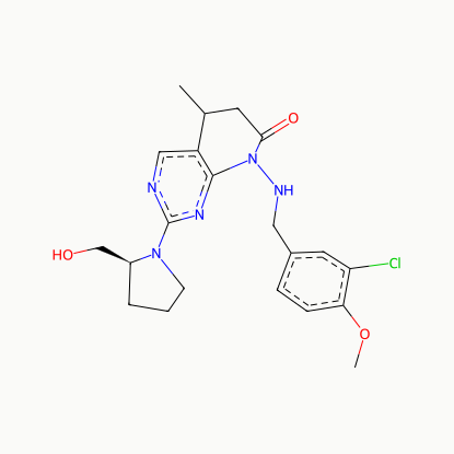 COc1ccc(CNN2C(=O)CC(C)c3cnc(N4CCC[C@H]4CO)nc32)cc1Cl